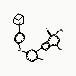 CCN1C2CC1CN(c1ccc(Nc3ncc(F)c(-c4cc5c(=O)n(C)cc(C(C)C)c5s4)n3)nc1)C2